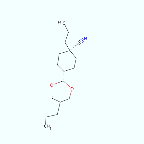 CCCC1COC([C@H]2CC[C@](C#N)(CCC)CC2)OC1